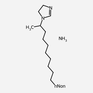 CCCCCCCCCCCCCCCCCC(C)N1C=NCC1.N